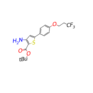 CC(C)(C)OC(=O)c1sc(-c2ccc(OCCC(F)(F)F)cc2)cc1N